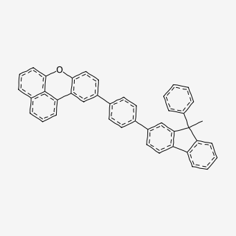 CC1(c2ccccc2)c2ccccc2-c2ccc(-c3ccc(-c4ccc5c(c4)-c4cccc6cccc(c46)O5)cc3)cc21